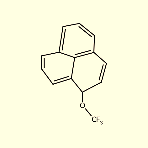 FC(F)(F)OC1C=Cc2cccc3cccc1c23